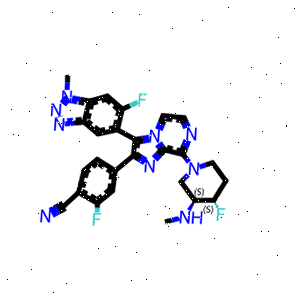 CN[C@H]1CN(c2nccn3c(-c4cc5nnn(C)c5cc4F)c(-c4ccc(C#N)c(F)c4)nc23)CC[C@@H]1F